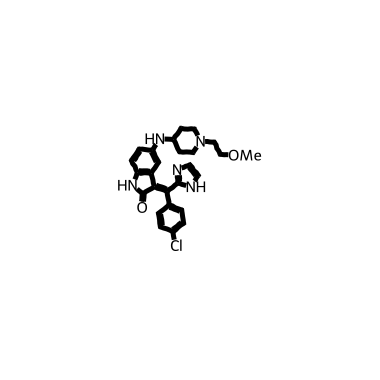 COCCN1CCC(Nc2ccc3c(c2)C(=C(c2ccc(Cl)cc2)c2ncc[nH]2)C(=O)N3)CC1